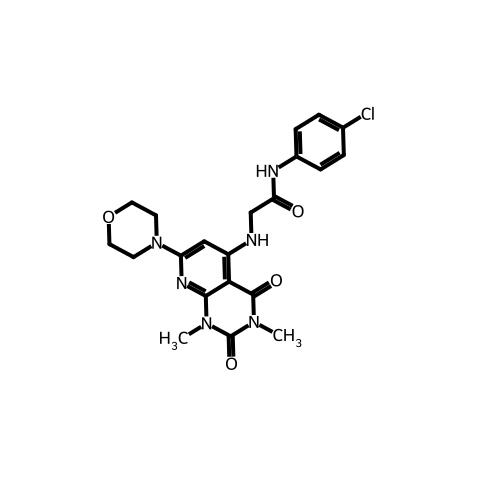 Cn1c(=O)c2c(NCC(=O)Nc3ccc(Cl)cc3)cc(N3CCOCC3)nc2n(C)c1=O